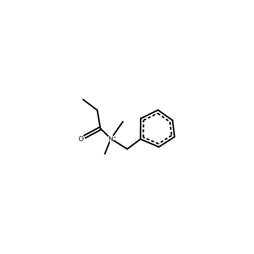 CCC(=O)[N+](C)(C)Cc1ccccc1